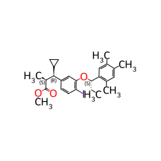 CC[C@H](Oc1cc([C@H](C2CC2)[C@H](C)C(=O)OC)ccc1I)c1cc(C)c(C)cc1C